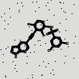 O=S(=O)(Nc1ccc(F)c(C#Cc2cnc3[nH]ncc3c2)c1F)c1cc(Cl)cc(Cl)c1